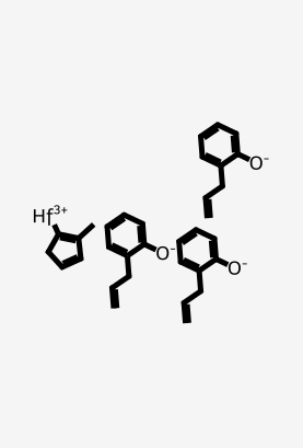 C=CCc1ccccc1[O-].C=CCc1ccccc1[O-].C=CCc1ccccc1[O-].CC1=[C]([Hf+3])CC=C1